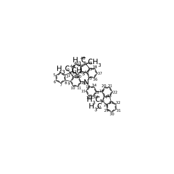 CC1(C)c2ccccc2-c2ccc(N(c3cccc(-c4cccc5c4C(C)(C)c4ccccc4-5)c3)c3cccc4c3-c3ccccc3C4(C)C)cc21